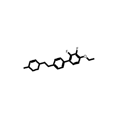 CCOc1ccc(-c2ccc(CCC3C=CC(C)CC3)cc2)c(F)c1F